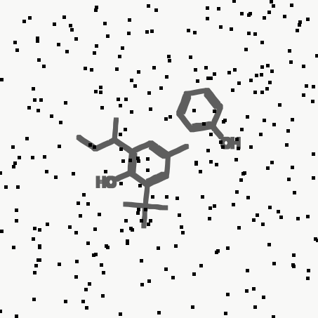 CCC(C)c1cc(C)cc(C(C)(C)C)c1O.Oc1ccccc1